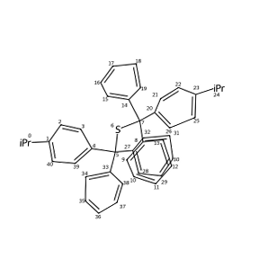 CC(C)c1ccc(C(SC(c2ccccc2)(c2ccccc2)c2ccc(C(C)C)cc2)(c2ccccc2)c2ccccc2)cc1